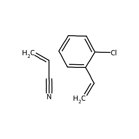 C=CC#N.C=Cc1ccccc1Cl